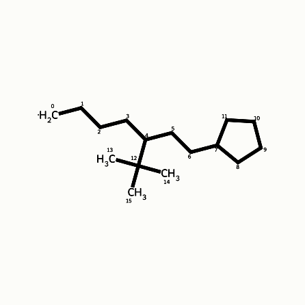 [CH2]CCCC(C[CH]C1CCCC1)C(C)(C)C